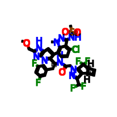 COCc1nc2nc([C@H](Cc3cc(F)cc(F)c3)NC(=O)Cn3nc(C(F)F)c4c3C(F)(F)[C@@H]3C=C[C@H]43)c(-c3ccc(Cl)c4c(NS(C)(=O)=O)nn(C)c34)cc2[nH]1